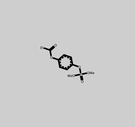 CCC(=O)Oc1ccc(OP(=O)(OC)OC)cc1